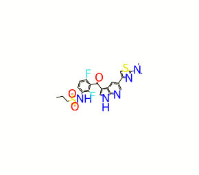 CCCS(=O)(=O)Nc1ccc(F)c(C(=O)c2c[nH]c3ncc(-c4csc(N(C)C)n4)cc23)c1F